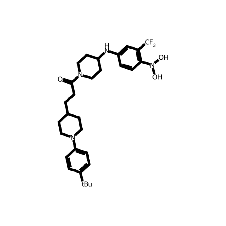 CC(C)(C)c1ccc(N2CCC(CCC(=O)N3CCC(Nc4ccc(N(O)O)c(C(F)(F)F)c4)CC3)CC2)cc1